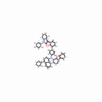 c1ccc(-c2ccc(N(c3ccc(-c4cccc5c4oc4c5c5ccccc5n4-c4ccccc4)cc3)c3cccc4c3oc3ccccc34)c3ccccc23)cc1